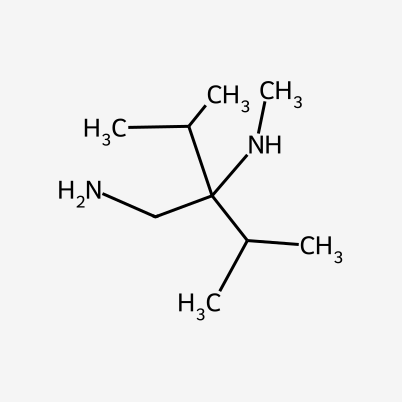 CNC(CN)(C(C)C)C(C)C